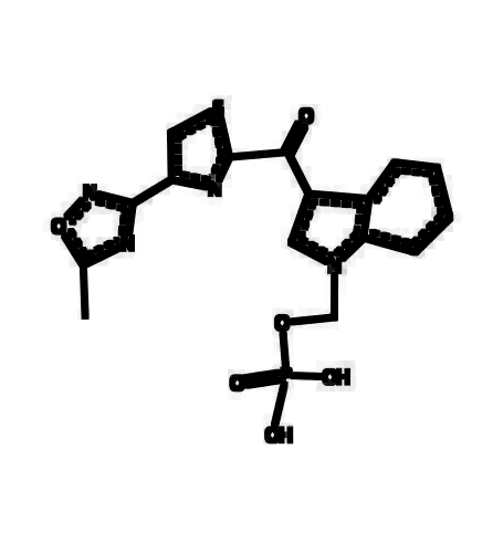 Cc1nc(-c2csc(C(=O)c3cn(COP(=O)(O)O)c4ccccc34)n2)no1